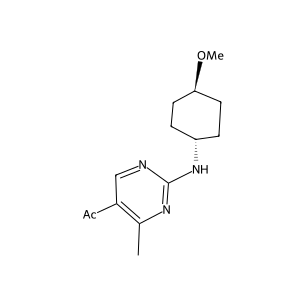 CO[C@H]1CC[C@H](Nc2ncc(C(C)=O)c(C)n2)CC1